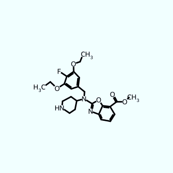 CCOc1cc(CN(c2nc3cccc(C(=O)OC)c3o2)C2CCNCC2)cc(OCC)c1F